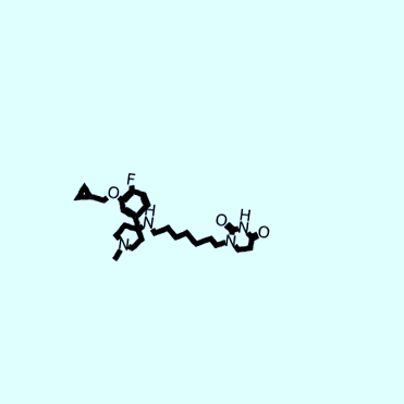 CN1CCC(NCCCCCCCN2CCC(=O)NC2=O)(c2ccc(F)c(OCC3CC3)c2)CC1